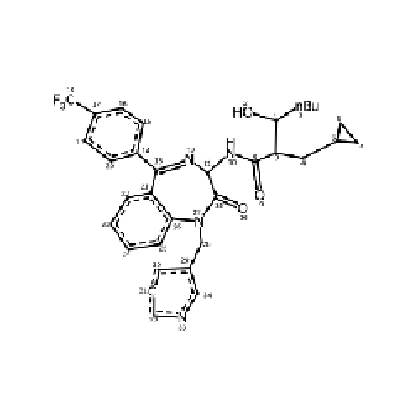 CCCCC(O)C(CC1CC1)C(=O)NC1N=C(c2ccc(C(F)(F)F)cc2)c2ccccc2N(Cc2cccnc2)C1=O